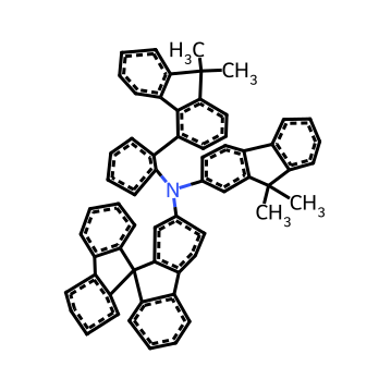 CC1(C)c2ccccc2-c2ccc(N(c3ccc4c(c3)C3(c5ccccc5-c5ccccc53)c3ccccc3-4)c3ccccc3-c3cccc4c3-c3ccccc3C4(C)C)cc21